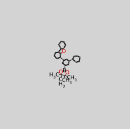 CC1(C)OB(c2cc(-c3ccccc3)cc(-c3cccc4c3oc3ccccc34)c2)OC1(C)C